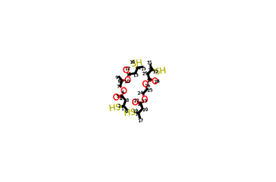 CC(S)CC(=O)OCC(C)OC(=O)CC(C)S.CC(S)CC(=O)OCCOC(=O)CC(C)S